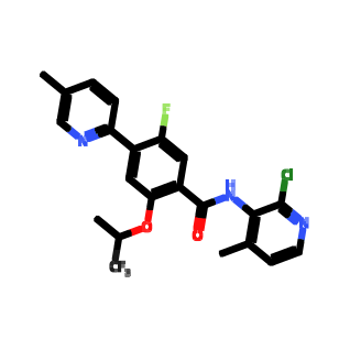 Cc1ccc(-c2cc(OC(C)C(F)(F)F)c(C(=O)Nc3c(C)ccnc3Cl)cc2F)nc1